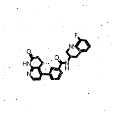 C[C@H]1CC(=O)Nc2nccc(-c3cccc(C(=O)NC(CN)Cc4cccc(F)c4)c3)c21